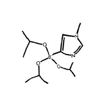 CC(C)O[B-](OC(C)C)(OC(C)C)c1cn(C)cn1